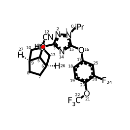 CC(C)n1nc(NC2[C@@H]3CC[C@H]2CN(C#N)C3)nc1Oc1ccc(OC(F)(F)F)c(F)c1